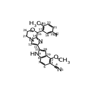 COc1c(C#N)ccc2[nH]c(-c3cn4c(n3)C(c3cc(F)ccc3C)OCC4)cc12